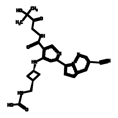 CC(C)(O)C(=O)CNC(=O)c1cnc(-c2ccc3cc(C#N)cnn23)cc1N[C@H]1C[C@H](CNC(=O)O)C1